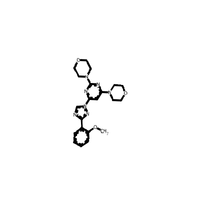 COc1ccccc1-c1ncn(-c2cc(N3CCOCC3)nc(N3CCOCC3)n2)n1